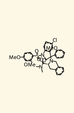 COc1ccc(S(=O)(=O)N2C(=O)C(c3ccccc3OC)(N3Cc4ccccc4C[C@H]3C(=O)N(C)C)c3cc(Cl)ccc32)c(OC)c1